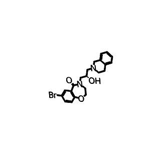 O=C1c2cc(Br)ccc2OCCN1C[C@@H](O)CN1CCc2ccccc2C1